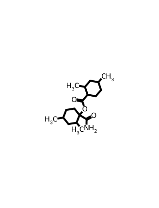 CC1CCC(C(=O)OC2(C(N)=O)CCC(C)CC2C)C(C)C1